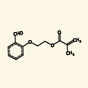 C=C(C)C(=O)OCCOc1ccccc1C=O